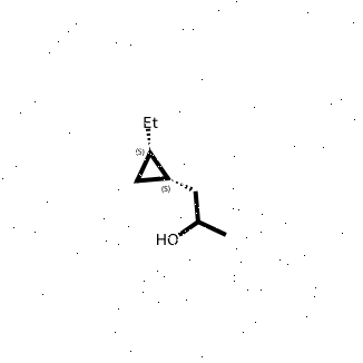 CC[C@H]1C[C@H]1CC(C)O